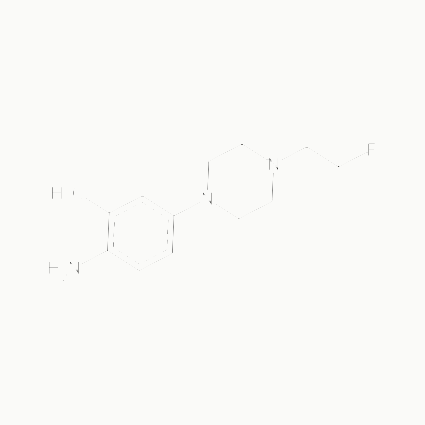 Cc1cc(N2CCN(CCF)CC2)ccc1N